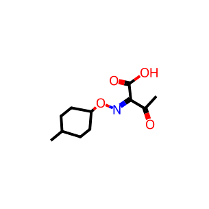 CC(=O)/C(=N/OC1CCC(C)CC1)C(=O)O